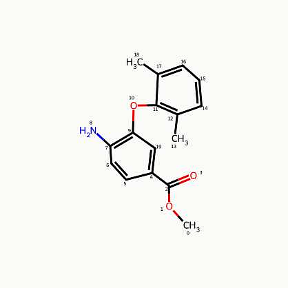 COC(=O)c1ccc(N)c(Oc2c(C)cccc2C)c1